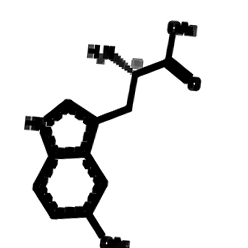 CC(=O)OC(=O)[C@@H](N)Cc1c[nH]c2ccc(OC(C)=O)cc12